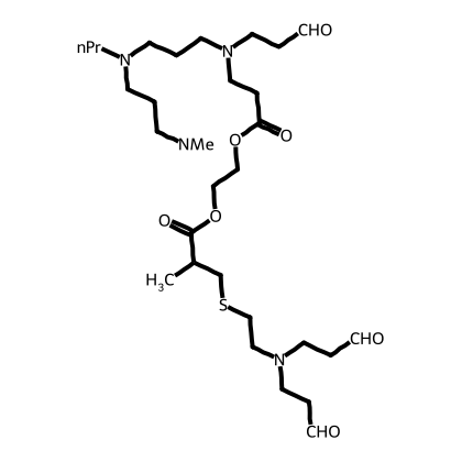 CCCN(CCCNC)CCCN(CCC=O)CCC(=O)OCCOC(=O)C(C)CSCCN(CCC=O)CCC=O